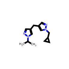 CC(C)n1cc(Cc2cnn(CC3CC3)c2)cn1